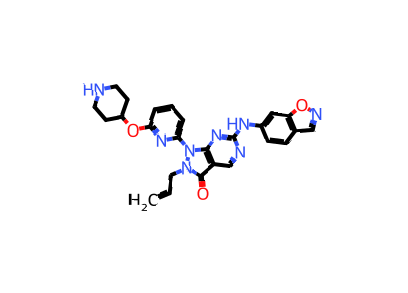 C=CCn1c(=O)c2cnc(Nc3ccc4cnoc4c3)nc2n1-c1cccc(OC2CCNCC2)n1